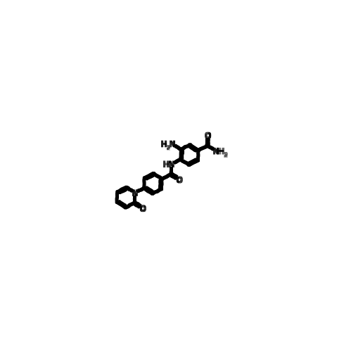 NC(=O)c1ccc(NC(=O)c2ccc(-n3ccccc3=O)cc2)c(N)c1